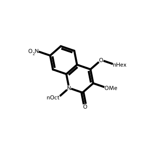 CCCCCCCCn1c(=O)c(OC)c(OCCCCCC)c2ccc([N+](=O)[O-])cc21